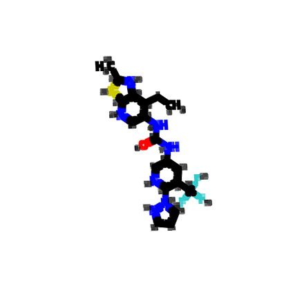 CCc1c(NC(=O)Nc2cnc(-n3cccn3)c(C(F)(F)F)c2)cnc2sc(C)nc12